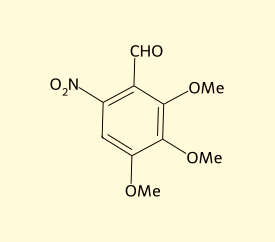 COc1cc([N+](=O)[O-])c(C=O)c(OC)c1OC